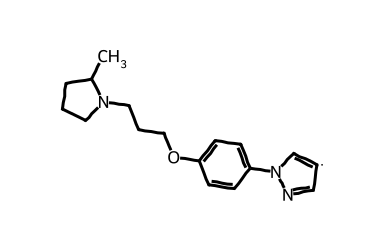 CC1CCCN1CCCOc1ccc(-n2c[c]cn2)cc1